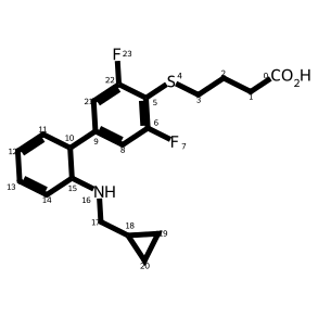 O=C(O)CCCSc1c(F)cc(C2C=CC=CC2NCC2CC2)cc1F